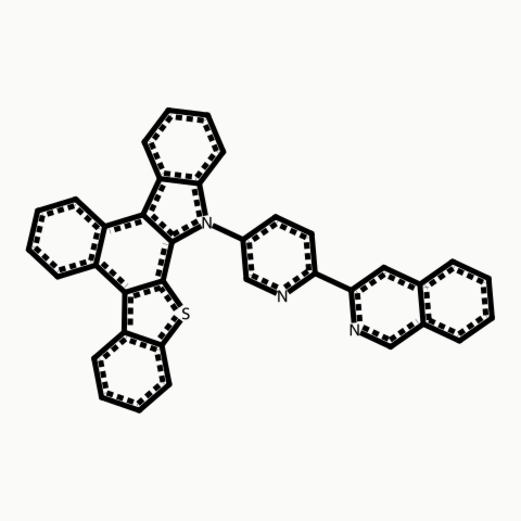 c1ccc2cc(-c3ccc(-n4c5ccccc5c5c6ccccc6c6c7ccccc7sc6c54)cn3)ncc2c1